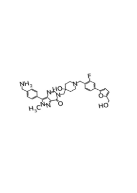 Cn1nc2c(=O)n(CC3(O)CCN(Cc4ccc(-c5ccc(CO)o5)cc4F)CC3)cnc2c1-c1ccc(CN)cc1